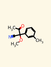 COC(C#N)(C(C)=O)c1cccc(C)c1